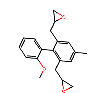 COc1ccccc1-c1c(CC2CO2)cc(C)cc1CC1CO1